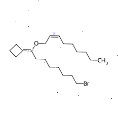 CCCCCC/C=C\COC(CCCCCCCBr)=C1CCC1